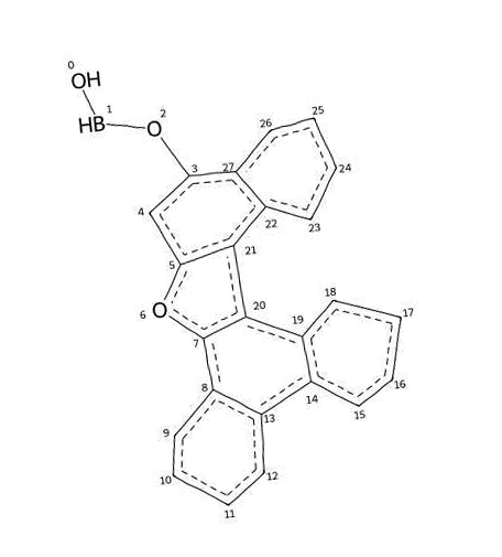 OBOc1cc2oc3c4ccccc4c4ccccc4c3c2c2ccccc12